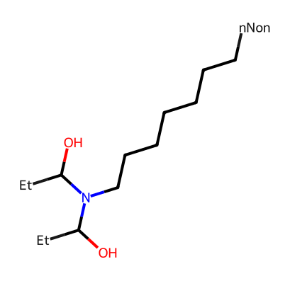 CCCCCCCCCCCCCCCCN(C(O)CC)C(O)CC